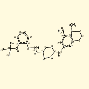 CC1CCCc2nc(N[C@H]3CC[C@@H](CNCc4ccccc4OC(F)(F)F)CC3)nc(N)c21